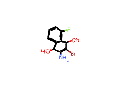 NC1=C(Br)C(O)c2c(F)cccc2C1O